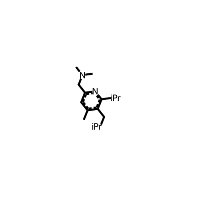 Cc1cc(CN(C)C)nc(C(C)C)c1CC(C)C